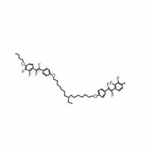 CCCCOc1ccc(/C(F)=C(\F)c2ccc(OCCCCCCCC(CC)CCCCCCCOc3ccc(/C(F)=C(\F)c4ccc(C)c(F)c4F)cc3)cc2)c(F)c1F